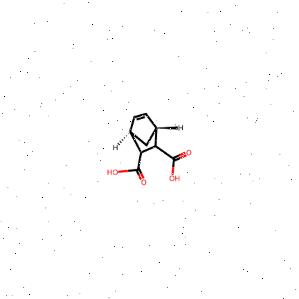 O=C(O)C1C(C(=O)O)[C@H]2C=C[C@H]1C2